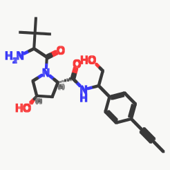 CC#Cc1ccc(C(CO)NC(=O)[C@@H]2C[C@@H](O)CN2C(=O)C(N)C(C)(C)C)cc1